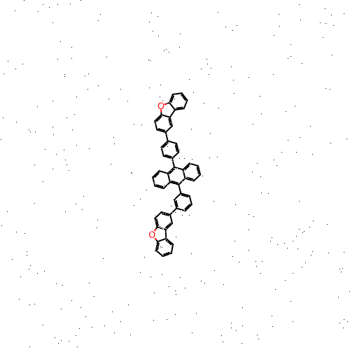 c1cc(-c2ccc3oc4ccccc4c3c2)cc(-c2c3ccccc3c(-c3ccc(-c4ccc5oc6ccccc6c5c4)cc3)c3ccccc23)c1